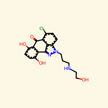 O=C1c2c(O)ccc(O)c2-c2nn(CCCNCCO)c3ccc(Cl)c1c23